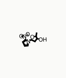 CC1OC(n2cccc2[N+](=O)[O-])CC1O